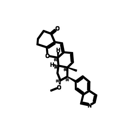 CO[C@@H]1C[C@H]2[C@@H]3OC4=C(C=C3C=C[C@]2(C)[C@H]1c1ccc2ccncc2c1)C(=O)CCC4